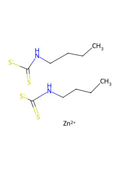 CCCCNC(=S)[S-].CCCCNC(=S)[S-].[Zn+2]